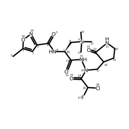 Cc1cc(C(=O)N[C@@H](C[Si](C)(C)C)C(=O)NN(CC2CCNC2=O)C(=O)C(F)Cl)no1